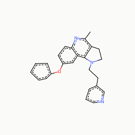 Cc1nc2ccc(Oc3ccccc3)cc2c2c1CCN2CCc1cccnc1